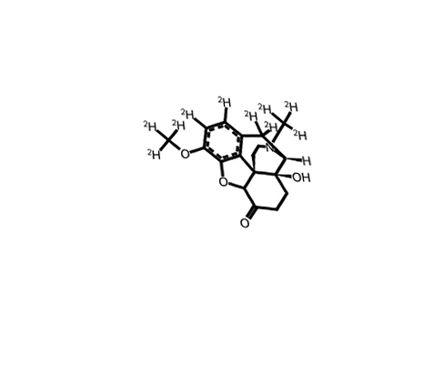 [2H]c1c([2H])c2c3c(c1OC([2H])([2H])[2H])OC1C(=O)CC[C@@]4(O)[C@H](N(C([2H])([2H])[2H])CC[C@]314)C2([2H])[2H]